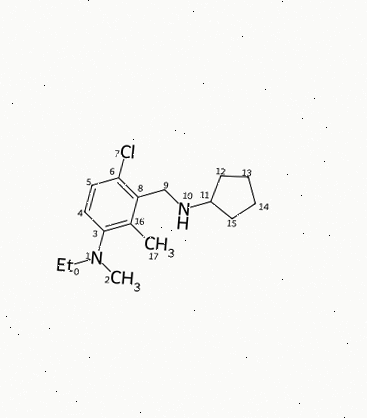 CCN(C)c1ccc(Cl)c(CNC2CCCC2)c1C